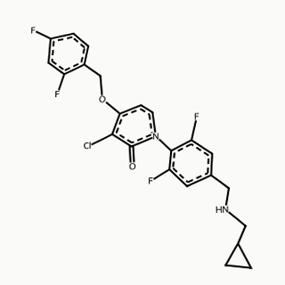 O=c1c(Cl)c(OCc2ccc(F)cc2F)ccn1-c1c(F)cc(CNCC2CC2)cc1F